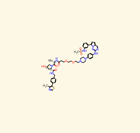 Cc1ncsc1-c1ccc(CNC(=O)[C@@H]2C[C@@H](O)CN2C(=O)[C@@H](NC(=O)CCOCCOCCN2CCN(c3ccc(Nc4ncc5ccc(-c6cccc(NS(C)(=O)=O)c6)n5n4)cc3)CC2)C(C)(C)C)cc1